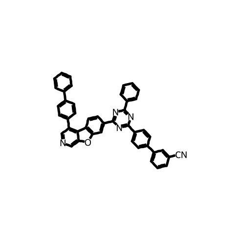 N#Cc1cccc(-c2ccc(-c3nc(-c4ccccc4)nc(-c4ccc5c(c4)oc4cncc(-c6ccc(-c7ccccc7)cc6)c45)n3)cc2)c1